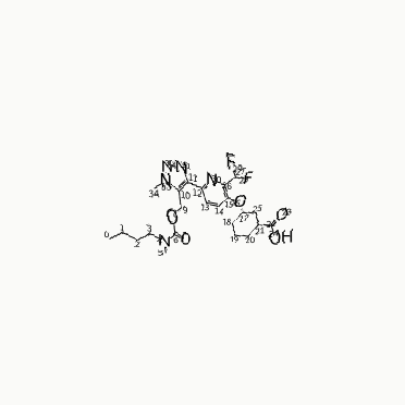 CCCCN(C)C(=O)OCc1c(-c2ccc(O[C@H]3CCC[C@H](C(=O)O)C3)c(C(F)F)n2)nnn1C